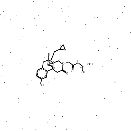 C[C@H](NC(=O)C[C@H]1C[C@@]2(O)[C@H]3Cc4ccc(O)cc4[C@@]2(CCN3CC2CC2)CC1=O)C(=O)O